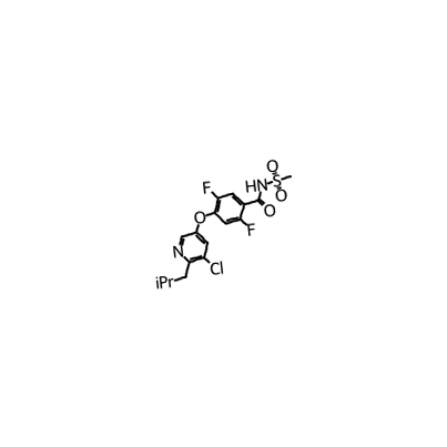 CC(C)Cc1ncc(Oc2cc(F)c(C(=O)NS(C)(=O)=O)cc2F)cc1Cl